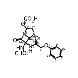 O=CN[C@@]1(NC(=O)COc2ccccc2)C(=O)N2C(OC(=O)O)CS[C@H]21